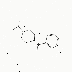 CC(C)C1CCC(N(C)c2ccccc2)CC1